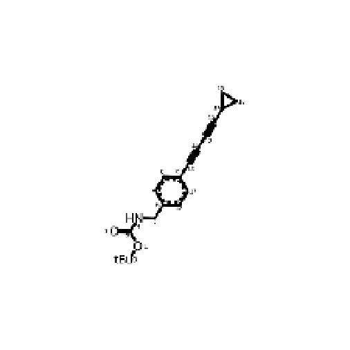 CC(C)(C)OC(=O)NCc1ccc(C#CC#CC2CC2)cc1